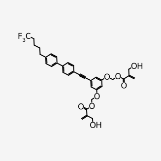 C=C(CO)C(=O)OCOc1cc(C#Cc2ccc(-c3ccc(CCCCC(F)(F)F)cc3)cc2)cc(OCOC(=O)C(=C)CO)c1